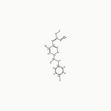 CC/C(C=O)=C/C1=CCC(C(C)Cc2ccc(C)cc2)C=C1C